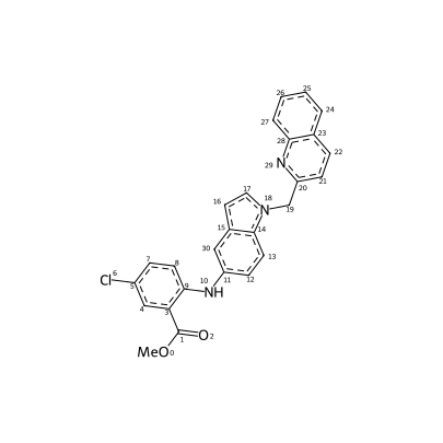 COC(=O)c1cc(Cl)ccc1Nc1ccc2c(ccn2Cc2ccc3ccccc3n2)c1